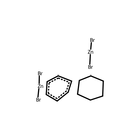 [Br][Zn][Br].[Br][Zn][Br].[CH]1CCCCC1.[c]1ccccc1